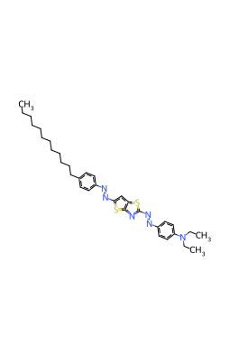 CCCCCCCCCCCCc1ccc(/N=N/c2cc3sc(/N=N/c4ccc(N(CC)CC)cc4)nc3s2)cc1